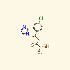 CCC(S)C(=S)SC(Cn1ccnc1)c1ccc(Cl)cc1